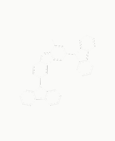 Ic1cc(-n2c3ccccc3c3ccccc32)cc2c1oc1ccc(-n3c4ccccc4c4ccccc43)cc12